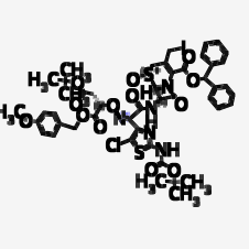 COc1ccc(COC(=O)[C@H](CC(=O)OC(C)(C)C)O/N=C(\C(=O)N[C@@H]2C(=O)N3C(C(=O)OC(c4ccccc4)c4ccccc4)=C(CI)C[S@@+]([O-])[C@H]23)c2nc(NC(=O)OC(C)(C)C)sc2Cl)cc1